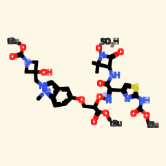 C[n+]1c2ccc(OCC(O/N=C(\C(=O)NC3C(=O)N(OS(=O)(=O)O)C3(C)C)c3csc(NC(=O)OC(C)(C)C)n3)C(=O)OC(C)(C)C)cc2cn1CC1(O)CN(C(=O)OC(C)(C)C)C1